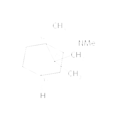 CN[C@@H]1C[C@H]2CC[C@]1(C)C2(C)C